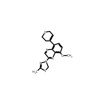 COc1ccc(C2=CCOCC2)c2ncc(N3CSC(C)=N3)nc12